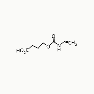 C=CNC(=O)OCCCC(=O)O